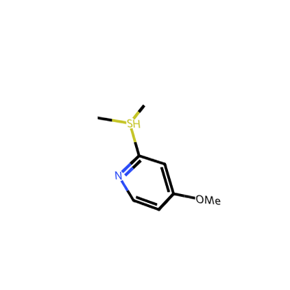 COc1ccnc([SH](C)C)c1